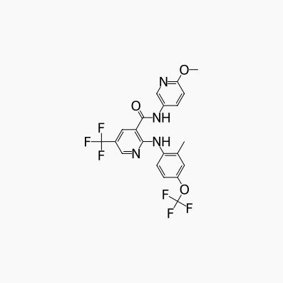 COc1ccc(NC(=O)c2cc(C(F)(F)F)cnc2Nc2ccc(OC(F)(F)F)cc2C)cn1